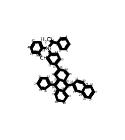 C=C(c1ccccc1)N(c1ccc(-c2ccc3c(-c4ccc5ccccc5c4)c4c(c(-c5ccccc5)c3c2)=CCCC=4)cc1)c1ccccc1C